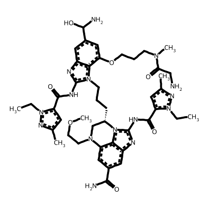 CCn1nc(C)cc1C(=O)Nc1nc2cc(C(N)O)cc(OCCCN(C)C(=O)CN)c2n1CCC[C@H]1CN(CCOC)c2cc(C(N)=O)cc3nc(NC(=O)c4cc(C)nn4CC)n1c23